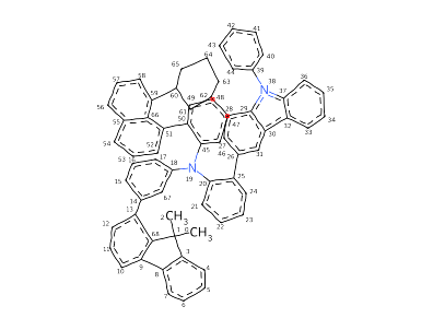 CC1(C)c2ccccc2-c2cccc(-c3cccc(N(c4ccccc4-c4ccc5c(c4)c4ccccc4n5-c4ccccc4)c4ccccc4-c4cccc5cccc(C6CCCCC6)c45)c3)c21